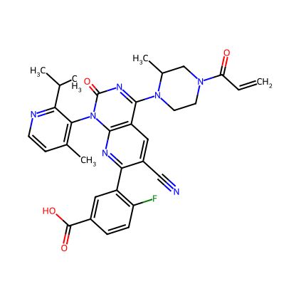 C=CC(=O)N1CCN(c2nc(=O)n(-c3c(C)ccnc3C(C)C)c3nc(-c4cc(C(=O)O)ccc4F)c(C#N)cc23)C(C)C1